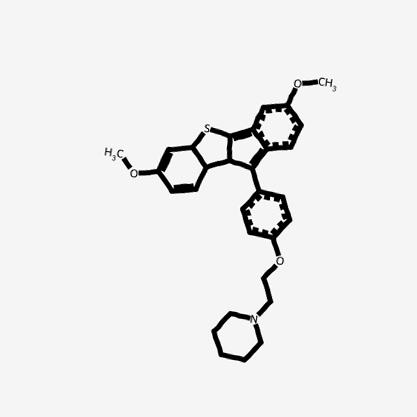 COC1=CC2SC3=c4cc(OC)ccc4=C(c4ccc(OCCN5CCCCC5)cc4)C3C2C=C1